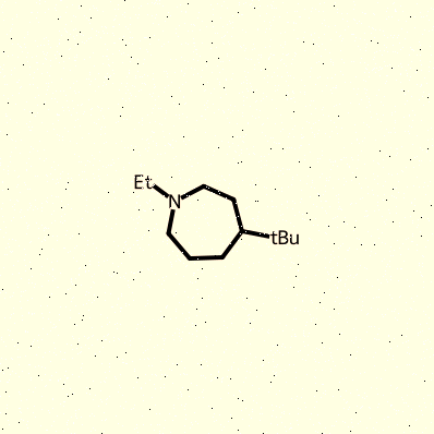 CCN1CCCC(C(C)(C)C)CC1